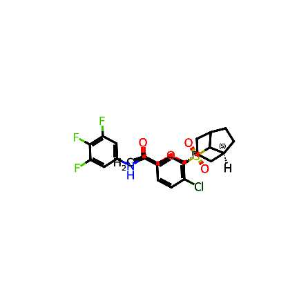 C=CCOC[C@@H]1CC2CC[C@@H](C1)C2S(=O)(=O)c1cc(C(=O)Nc2cc(F)c(F)c(F)c2)ccc1Cl